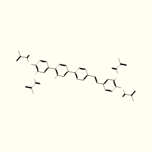 C=C(C)C(=O)Oc1ccc(/C=C/c2ccc(-c3ccc(-c4ccc(OC(=O)C(=C)C)c(OC(=O)C(=C)C)c4)c(F)c3)cc2)cc1OC(=O)C(=C)C